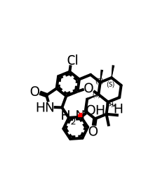 C[C@H]1CC[C@H]2C(C)(C)C(=O)C(N)C[C@]23Oc2c(c(Cl)cc4c2C(c2ccccc2O)NC4=O)C[C@]13C